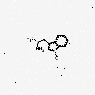 C[C@@H](N)Cc1cn(O)c2ccccc12